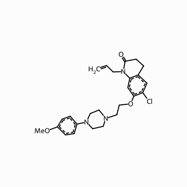 C=CCN1C(=O)CCc2cc(Cl)c(OCCN3CCN(c4ccc(OC)cc4)CC3)cc21